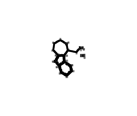 Cl.NCC1OCCCn2nc3ccccc3c21